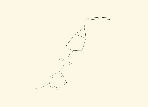 O=S(=O)(c1ccc(Br)s1)N1CC2C(C1)C2N=C=S